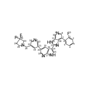 Fc1ccccc1-c1cncc2[nH]c(-c3c[nH]c4ncc(-c5cncc(CN6CCC(F)(F)C6)c5)cc34)nc12